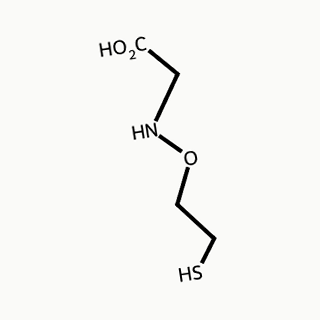 O=C(O)CNOCCS